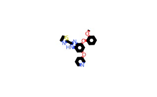 COc1ccccc1Oc1cc(Oc2cccnc2)cc2[nH]c(-c3nccs3)nc12